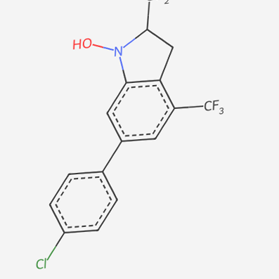 O=C(O)C1Cc2c(cc(-c3ccc(Cl)cc3)cc2C(F)(F)F)N1O